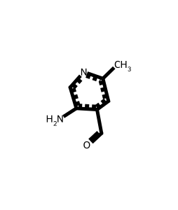 Cc1cc(C=O)c(N)cn1